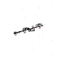 CCC(=O)NCCOCCOCC(=O)N[C@@H](CCC(=O)N[C@@H](CCC(=O)NCCCC[C@H](NN)C(=O)O)C(=O)O)C(=O)O